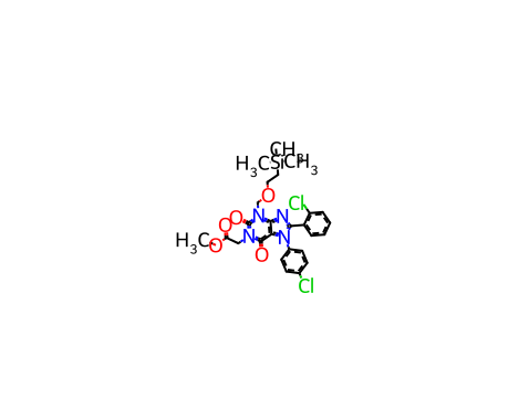 COC(=O)Cn1c(=O)c2c(nc(-c3ccccc3Cl)n2-c2ccc(Cl)cc2)n(COCC[Si](C)(C)C)c1=O